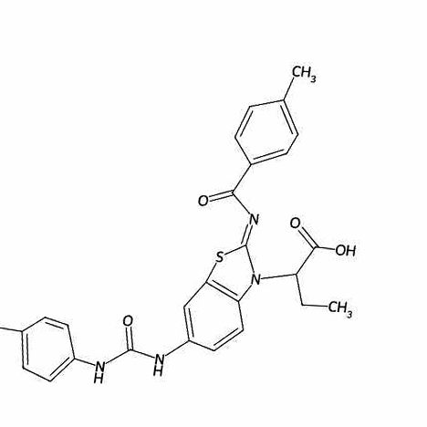 CCC(C(=O)O)n1c(=NC(=O)c2ccc(C)cc2)sc2cc(NC(=O)Nc3ccc(F)cc3)ccc21